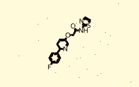 O=C(COC1=CCC(c2ccc(F)cc2)N=C1)Nc1nccs1